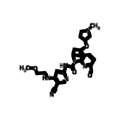 COCCNc1cc(NC(=O)N2c3nc(C=O)ccc3C3(OC4CCN(C)C4)CC2C3)ncc1C#N